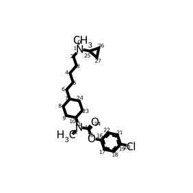 CN(CCCCCC1CCC(N(C)C(=O)Oc2ccc(Cl)cc2)CC1)C1CC1